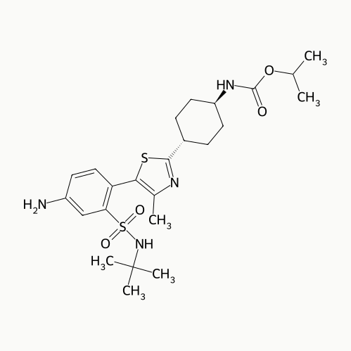 Cc1nc([C@H]2CC[C@H](NC(=O)OC(C)C)CC2)sc1-c1ccc(N)cc1S(=O)(=O)NC(C)(C)C